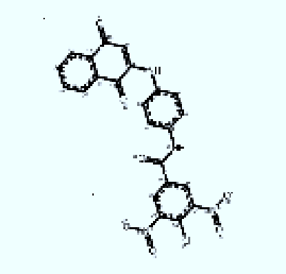 O=C(Nc1ccc(NC2=CC(=O)c3ccccc3C2=O)cc1)c1cc([N+](=O)[O-])c(Cl)c([N+](=O)[O-])c1